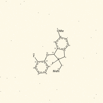 CNCC1(F)Cc2ccc(OC)cc2C1Oc1ccccc1F